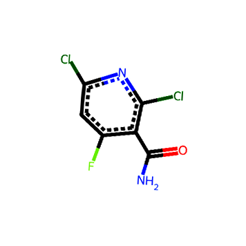 NC(=O)c1c(F)cc(Cl)nc1Cl